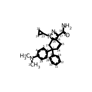 CN(C)c1ccc(C2(c3ccccc3)C=Cc3c(C(N)=O)nn(C4CC4)c3C2)cc1